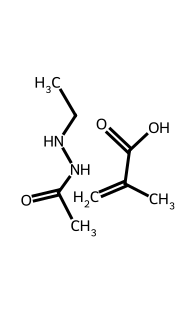 C=C(C)C(=O)O.CCNNC(C)=O